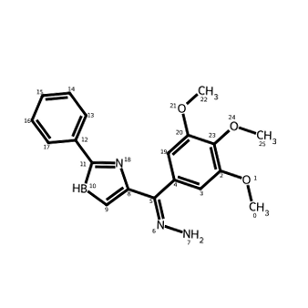 COc1cc(/C(=N\N)C2=CBC(c3ccccc3)=N2)cc(OC)c1OC